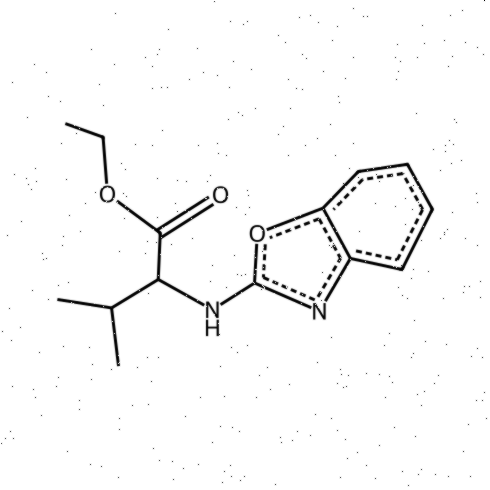 CCOC(=O)C(Nc1nc2ccccc2o1)C(C)C